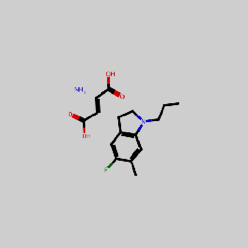 CCCN1CCc2cc(F)c(C)cc21.N.O=C(O)C=CC(=O)O